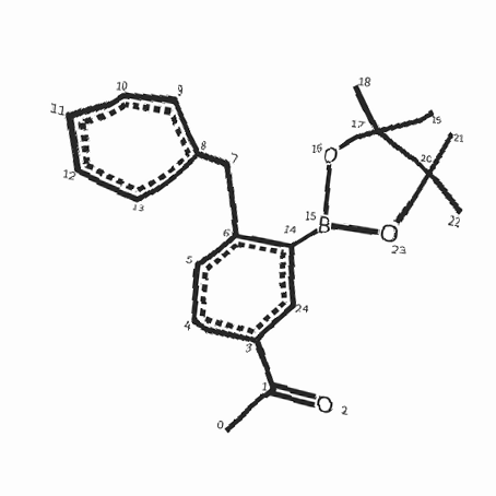 CC(=O)c1ccc(Cc2ccccc2)c(B2OC(C)(C)C(C)(C)O2)c1